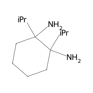 CC(C)C1(N)CCCCC1(N)C(C)C